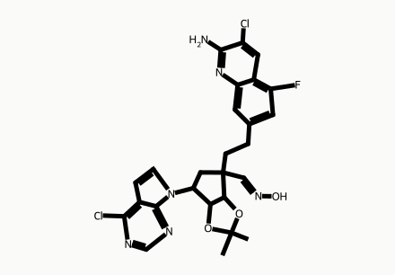 CC1(C)OC2C(n3ccc4c(Cl)ncnc43)CC(/C=N/O)(CCc3cc(F)c4cc(Cl)c(N)nc4c3)C2O1